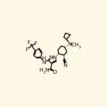 CN(C1CCC1)[C@H]1CC[C@@H](n2cc(C(N)=O)c(Nc3ccc(C(F)(F)F)cc3)n2)[C@H](C#N)C1